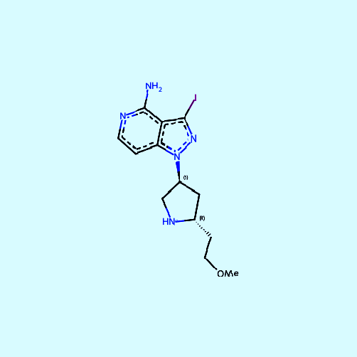 COCC[C@H]1C[C@H](n2nc(I)c3c(N)nccc32)CN1